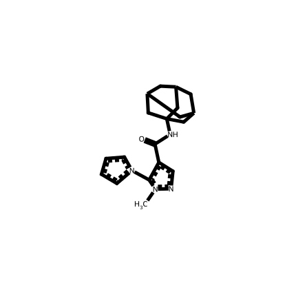 Cn1ncc(C(=O)NC23CC4CC(CC(C4)C2)C3)c1-n1cccc1